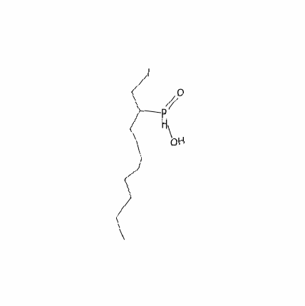 CCCCCCC(CI)[PH](=O)O